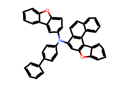 c1ccc(-c2ccc(N(c3ccc4oc5ccccc5c4c3)c3cc4oc5ccccc5c4c4c3ccc3ccccc34)cc2)cc1